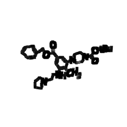 Cc1c(NCCN2CCCC2)cc(C(=O)OCc2ccccc2)cc1N1CCN(C(=O)OC(C)(C)C)CC1